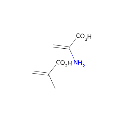 C=C(C)C(=O)O.C=C(N)C(=O)O